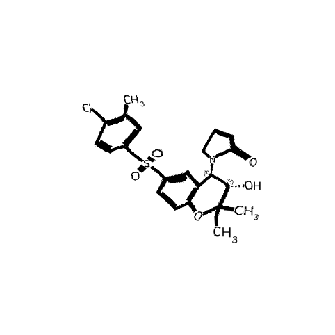 Cc1cc(S(=O)(=O)c2ccc3c(c2)[C@@H](N2CCCC2=O)[C@H](O)C(C)(C)O3)ccc1Cl